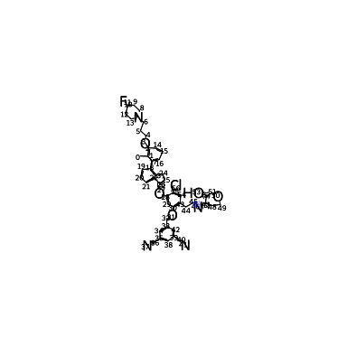 Cc1c(OCCCN2CCC(F)CC2)cccc1-c1cccc2c1CC[C@@H]2Oc1cc(OCc2cc(C#N)cc(C#N)c2)c(C/C=N/[C@H]2CCOC[C@H]2O)cc1Cl